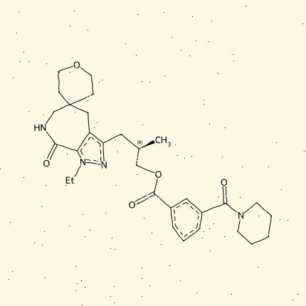 CCn1nc(C[C@@H](C)COC(=O)c2cccc(C(=O)N3CCCCC3)c2)c2c1C(=O)NCC1(CCOCC1)C2